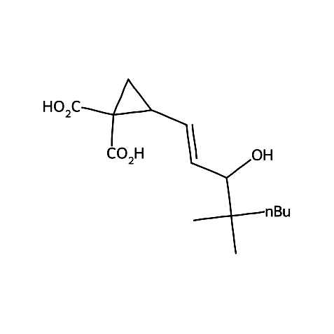 CCCCC(C)(C)C(O)C=CC1CC1(C(=O)O)C(=O)O